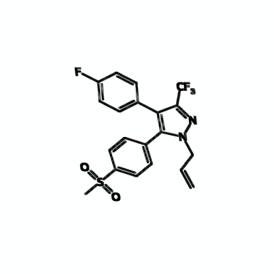 C=CCn1nc(C(F)(F)F)c(-c2ccc(F)cc2)c1-c1ccc(S(C)(=O)=O)cc1